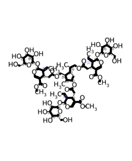 C/C=C1\[C@H](O[C@@H]2O[C@H](CO)[C@@H](O)[C@H](O)[C@H]2O)OC=C(C(=O)OC)[C@H]1CC(=O)OC[C@@H](C)[C@@H]1C[C@H](OC(=O)C[C@@H]2C(C(=O)OC)=CO[C@@H](O[C@@H]3O[C@H](CO)[C@@H](O)[C@H](O)[C@H]3O)/C2=C\C)[C@@H](C)[C@H]1COC(=O)C[C@@H]1C(C(=O)OC)=CO[C@@H](O[C@@H]2O[C@H](CO)[C@@H](O)[C@H](O)[C@H]2O)/C1=C/C